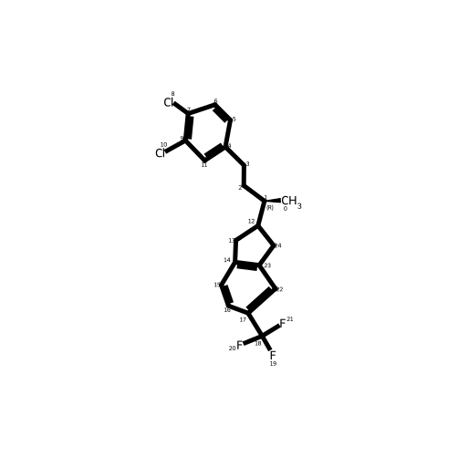 C[C@H](CCc1ccc(Cl)c(Cl)c1)C1Cc2ccc(C(F)(F)F)cc2C1